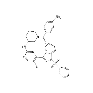 Nc1ccc(C(=O)N2CCC[C@@H](Nc3ncc(Cl)c(-c4cn(S(=O)(=O)c5ccccc5)c5ccccc45)n3)C2)cc1